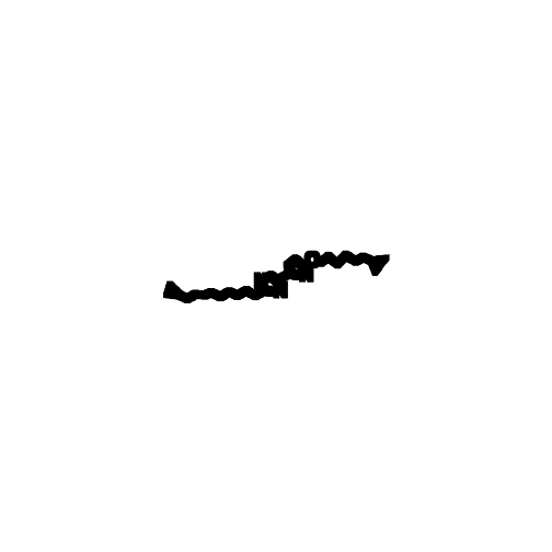 c1cc(OCCCCCCC2CC2)ncc1-c1cnc(CCCCCCCCCC2CC2)cn1